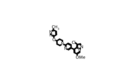 COc1cc(-c2ccc(N3CCC(Oc4ccc(C)nn4)CC3)nc2)c2c(Cl)cnn2c1